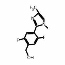 Cn1cc(C(F)(F)F)nc1-c1cc(F)c(CO)cc1F